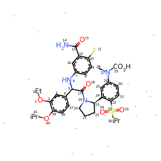 CCOc1cc([C@@H](Nc2ccc(F)c(C(N)=O)c2)C(=O)N2CCC[C@@H]2c2cc(N(C)C(=O)O)ccc2S(=O)(=O)C(C)C)ccc1OC(C)C